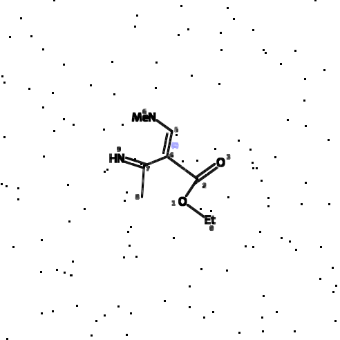 CCOC(=O)/C(=C/NC)C(C)=N